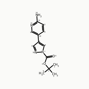 CC(C)(C)OC(=O)n1cc(-c2ccc(N)nc2)cn1